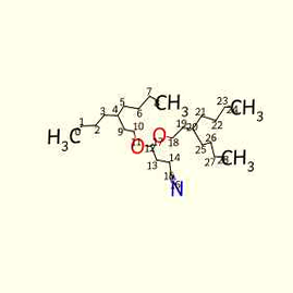 CCCCC(CCCC)CCOC(CCC#N)OCCC(CCCC)CCCC